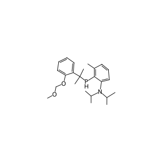 COCOc1ccccc1C(C)(C)Pc1c(C)cccc1N(C(C)C)C(C)C